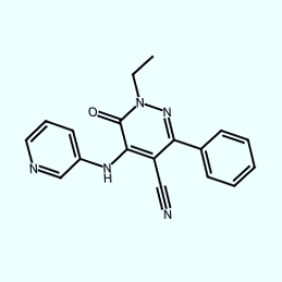 CCn1nc(-c2ccccc2)c(C#N)c(Nc2cccnc2)c1=O